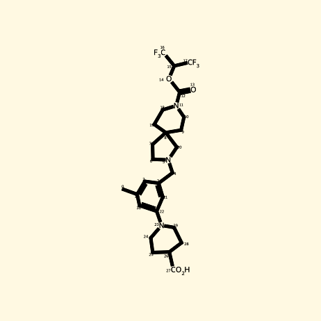 Cc1cc(CN2CCC3(CCN(C(=O)OC(C(F)(F)F)C(F)(F)F)CC3)C2)cc(N2CCC(C(=O)O)CC2)c1